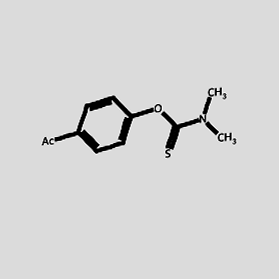 CC(=O)c1ccc(OC(=S)N(C)C)cc1